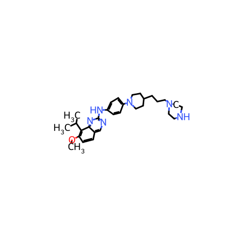 COc1ccc2cnc(Nc3ccc(N4CCC(CCCN5CCNCC5)CC4)cc3)nc2c1C(C)C